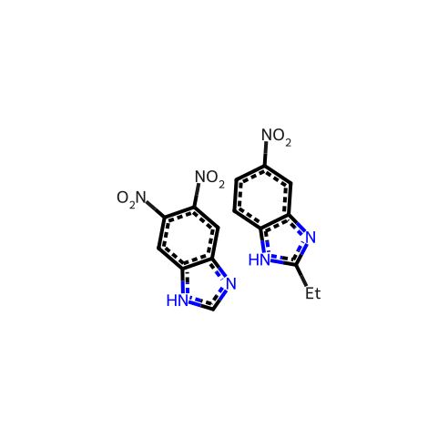 CCc1nc2cc([N+](=O)[O-])ccc2[nH]1.O=[N+]([O-])c1cc2nc[nH]c2cc1[N+](=O)[O-]